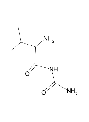 CC(C)C(N)C(=O)NC(N)=O